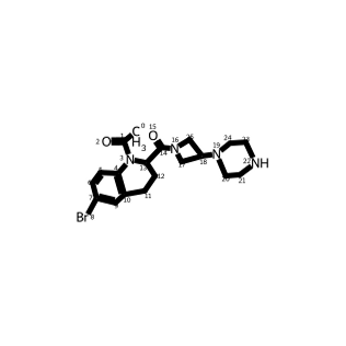 CC(=O)N1c2ccc(Br)cc2CCC1C(=O)N1CC(N2CCNCC2)C1